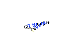 CCN1CCN(c2ccc(Nc3ncc4scc(-c5cnc6ccccc6c5)c4n3)cn2)CC1